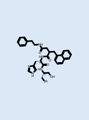 CC(C)C[C@@H](CO)NC(=O)[C@H](Cc1c[nH]cn1)NC(=O)C(CC(=O)NCCc1ccccc1)Cc1cccc2ccccc12